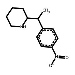 CC(c1ccc([N+](=O)[O-])cc1)C1CCCCN1